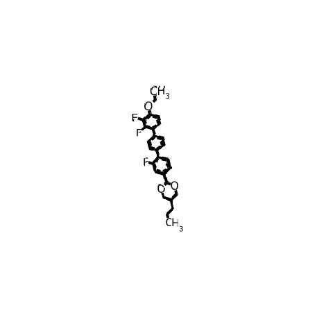 CCCC1COC(c2ccc(-c3ccc(-c4ccc(OCC)c(F)c4F)cc3)c(F)c2)OC1